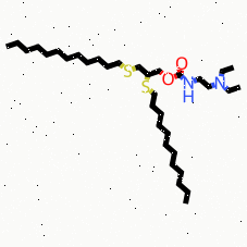 CCCCCCCCCCCCSCC(COC(=O)NCCN(CC)CC)SCCCCCCCCCCCC